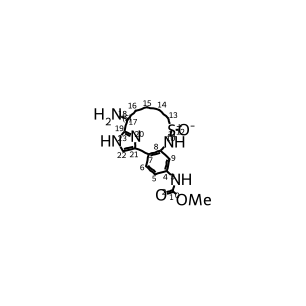 COC(=O)Nc1ccc2c(c1)N[S+]([O-])CCCC[C@H](N)c1nc-2c[nH]1